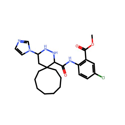 COC(=O)c1cc(Cl)ccc1NC(=O)C1NNC(n2ccnc2)CC12CCCCCCCC2